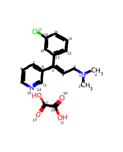 CN(C)CC=C(c1cccnc1)c1cccc(Cl)c1.O=C(O)C(=O)O